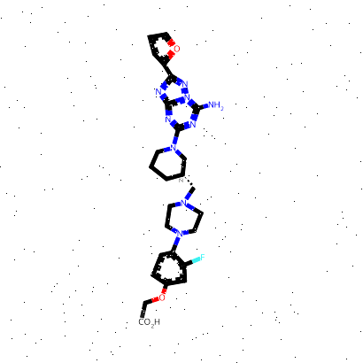 Nc1nc(N2CCC[C@@H](CN3CCN(c4ccc(OCC(=O)O)cc4F)CC3)C2)nc2nc(-c3ccco3)nn12